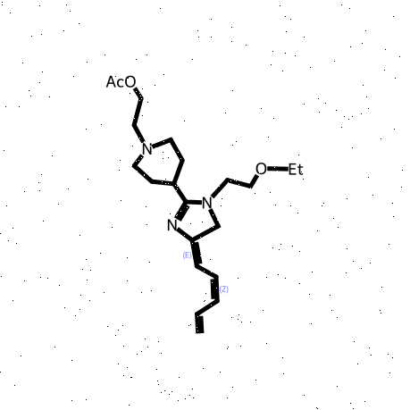 C=C/C=C\C=C1/CN(CCOCC)C(C2CCN(CCOC(C)=O)CC2)=N1